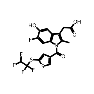 Cc1c(CC(=O)O)c2cc(O)c(F)cc2n1C(=O)c1csc(SC(F)(F)C(F)F)c1